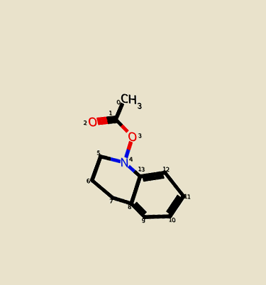 CC(=O)ON1CCCc2ccccc21